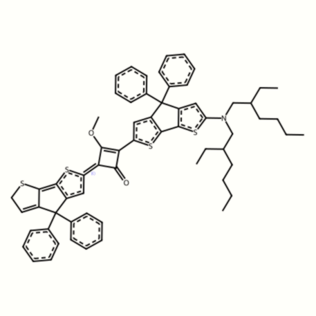 CCCCC(CC)CN(CC(CC)CCCC)c1cc2c(s1)-c1sc(C3=C(OC)/C(=c4/cc5c(s4)=C4SCC=C4C5(c4ccccc4)c4ccccc4)C3=O)cc1C2(c1ccccc1)c1ccccc1